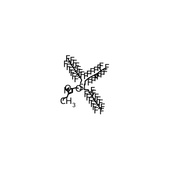 CCCc1cc(CO[Si](CCC(F)(F)C(F)(F)C(F)(F)C(F)(F)C(F)(F)C(F)(F)F)(CCC(F)(F)C(F)(F)C(F)(F)C(F)(F)C(F)(F)C(F)(F)F)CCC(F)(F)C(F)(F)C(F)(F)C(F)(F)C(F)(F)C(F)(F)F)on1